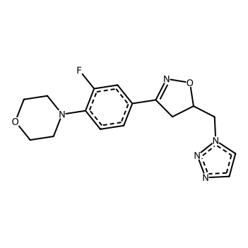 Fc1cc(C2=NOC(Cn3ccnn3)C2)ccc1N1CCOCC1